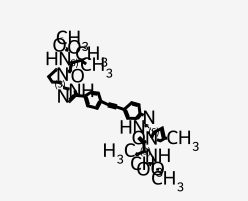 COC(=O)N[C@H](C(=O)N1CC(C)=C[C@H]1c1nc2ccc(C#Cc3ccc(-c4cnc([C@@H]5CCCN5C(=O)[C@@H](NC(=O)OC)C(C)C)[nH]4)cc3)cc2[nH]1)C(C)C